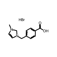 Br.CN1C=CN(Cc2ccc(C(=O)O)cc2)C1